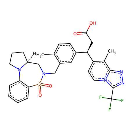 Cc1ccc([C@@H](CC(=O)O)c2ccn3c(C(F)(F)F)nnc3c2C)cc1CN1C[C@@H]2CCCN2c2ccccc2S1(=O)=O